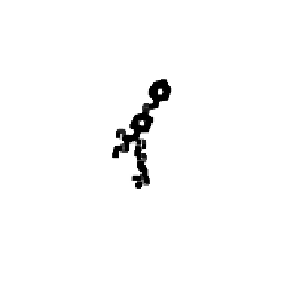 CCOC(=O)[C@H](OCOCC[Si](C)(C)C)c1ccc(OCc2ccccc2)cc1